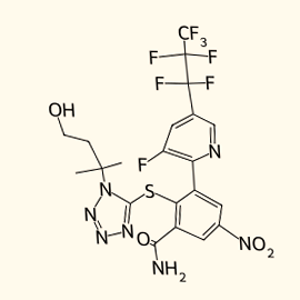 CC(C)(CCO)n1nnnc1Sc1c(C(N)=O)cc([N+](=O)[O-])cc1-c1ncc(C(F)(F)C(F)(F)C(F)(F)F)cc1F